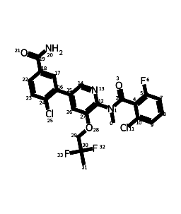 CN(C(=O)c1c(F)cccc1Cl)c1ncc(-c2cc(C(N)=O)ccc2Cl)cc1OCC(C)(F)F